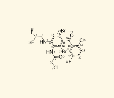 O=C(CCl)Nc1c(NCC(F)F)cc(Br)c(C(=O)c2cc(F)ccc2Cl)c1Br